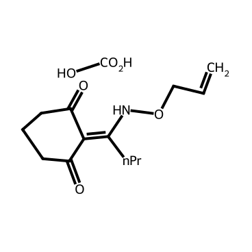 C=CCONC(CCC)=C1C(=O)CCCC1=O.O=C(O)O